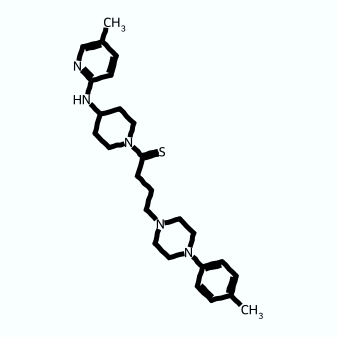 Cc1ccc(N2CCN(CCCC(=S)N3CCC(Nc4ccc(C)cn4)CC3)CC2)cc1